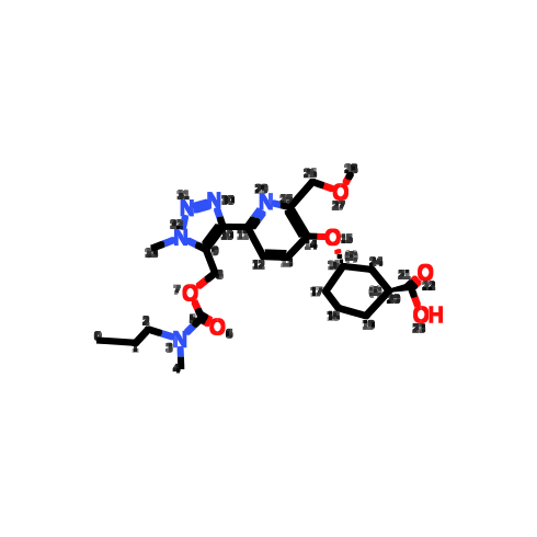 CCCN(C)C(=O)OCc1c(-c2ccc(O[C@H]3CCC[C@H](C(=O)O)C3)c(COC)n2)nnn1C